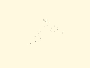 CC(=O)Cc1ccc(OCc2snnc2-c2ccc(Cl)cc2)cc1